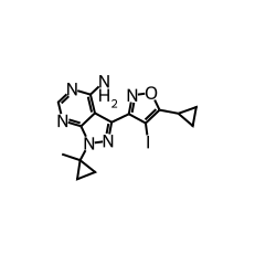 CC1(n2nc(-c3noc(C4CC4)c3I)c3c(N)ncnc32)CC1